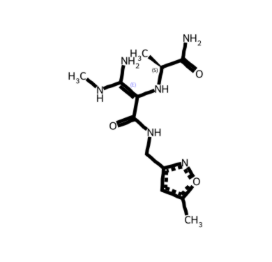 CN/C(N)=C(/N[C@@H](C)C(N)=O)C(=O)NCc1cc(C)on1